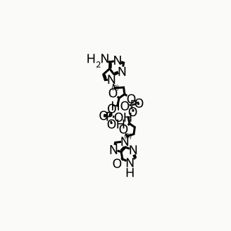 Nc1ncnc2c1ccn2[C@H]1CC(OP(=O)(O)OCC2CC[C@H](n3cnc4c(=O)[nH]cnc43)O2)C(COP(=O)(O)O)O1